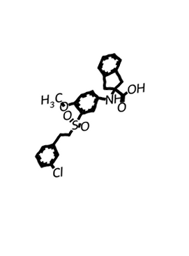 COc1ccc(NC2(C(=O)O)Cc3ccccc3C2)cc1S(=O)(=O)CCc1cccc(Cl)c1